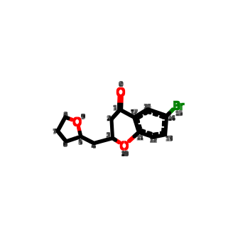 O=C1CC(CC2CCCO2)Oc2ccc(Br)cc21